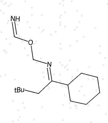 CC(C)(C)C/C(=N\COC=N)C1CCCCC1